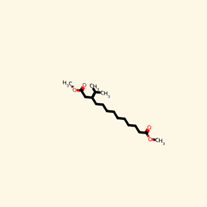 COC(=O)CCCCCCCCCC(CC(=O)OC)C(C)C